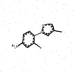 Cc1cnn(-c2ccc(N)cc2F)c1